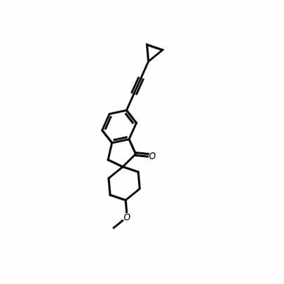 COC1CCC2(CC1)Cc1ccc(C#CC3CC3)cc1C2=O